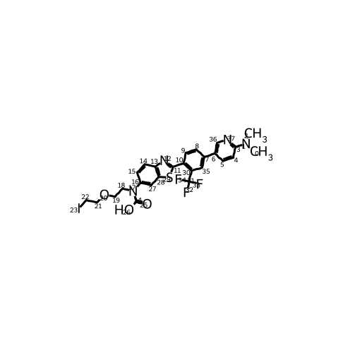 CN(C)c1ccc(-c2ccc(-c3nc4ccc(N(CCOCCI)C(=O)O)cc4s3)c(C(F)(F)F)c2)cn1